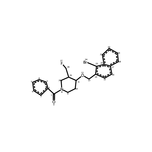 O=C(c1ccccc1)N1CCC(OCc2ccc3ccccc3c2Br)C(CF)C1